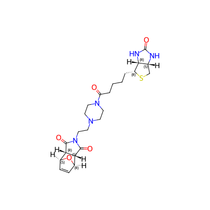 O=C1N[C@@H]2[C@@H](CS[C@@H]2CCCCC(=O)N2CCN(CCN3C(=O)[C@@H]4[C@H](C3=O)[C@H]3C=C[C@@H]4O3)CC2)N1